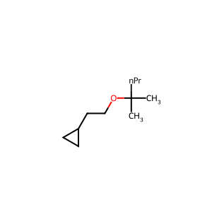 [CH2]CCC(C)(C)OCCC1CC1